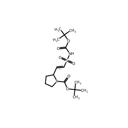 CC(C)(C)OC(=O)NS(=O)(=O)/C=C/C1CCCN1C(=O)OC(C)(C)C